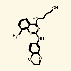 Cc1cccc2c(NCCCO)nc(Nc3ccc4c(c3)OCCO4)nc12